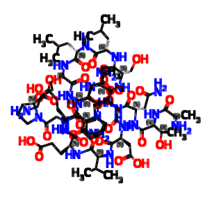 CC(C)C[C@H](NC(=O)[C@H](CC(C)C)NC(=O)[C@H](CO)NC(=O)[C@H](Cc1ccccc1)NC(=O)[C@H](CC(N)=O)NC(=O)[C@@H](NC(=O)[C@H](C)N)[C@@H](C)O)C(=O)N[C@@H](CCCCN)C(=O)N[C@@H](CCC(N)=O)C(=O)N[C@@H](C)C(=O)NCC(=O)N[C@@H](CC(=O)O)C(=O)N[C@H](C(=O)N[C@@H](CCC(=O)O)C(=O)N[C@@H](CCC(=O)O)C(=O)N[C@@H](CC(N)=O)C(=O)N1CCC[C@H]1C(=O)NCC(=O)N1CCC[C@H]1C(=O)O)C(C)C